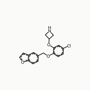 Clc1ccc(OCc2ccc3occc3c2)c(OC2CNC2)c1